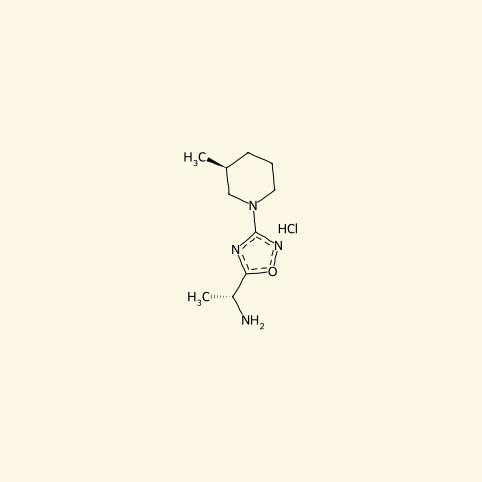 C[C@H]1CCCN(c2noc([C@@H](C)N)n2)C1.Cl